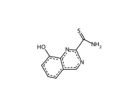 NC(=S)c1ncc2cccc(O)c2n1